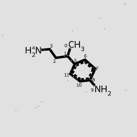 CC(CCN)c1ccc(N)cc1